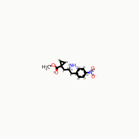 COC(=O)C1(C[C@@H](N)Cc2ccc([N+](=O)[O-])cc2)CC1